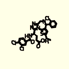 CCc1cc2c(s1)-n1c(nnc1[C@@H](CCC(=O)O)NC(=O)c1ccc(Cl)c(Cl)c1)CN=C2c1ccccc1Cl